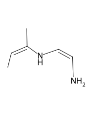 C/C=C(/C)N/C=C\N